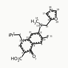 CC(C)Cn1cc(C(=O)O)c(=O)c2cc(F)c(N(C)Cc3cnco3)cc21